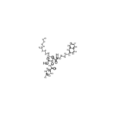 CCCCCC(C)CCCCCOC(C(=O)NCCCCCc1ccc2ccccc2c1)C(OCC(=O)N1CCN(C)CC1)C(=O)O